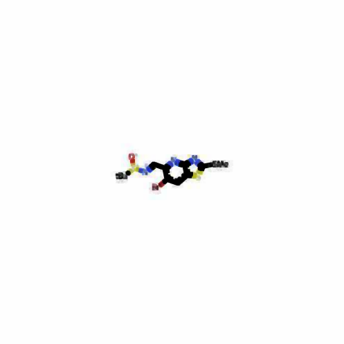 CSc1nc2nc(/C=N/[S+]([O-])C(C)(C)C)c(Br)cc2s1